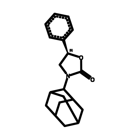 O=C1O[C@H](c2ccccc2)CN1C1C2CC3CC(C2)CC1C3